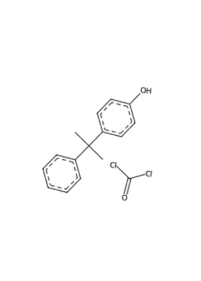 CC(C)(c1ccccc1)c1ccc(O)cc1.O=C(Cl)Cl